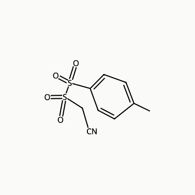 Cc1ccc(S(=O)(=O)S(=O)(=O)CC#N)cc1